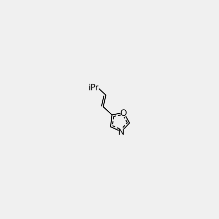 CC(C)/C=C/c1cnco1